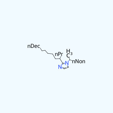 CCCCCCCCCCCCCCCC(CCC)c1nccn1C(C)CCCCCCCCC